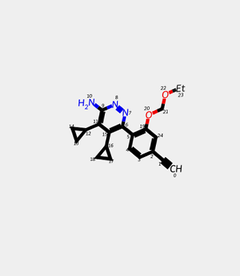 C#Cc1ccc(-c2nnc(N)c(C3CC3)c2C2CC2)c(OCOCC)c1